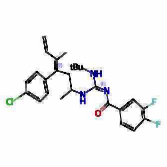 C=C/C(C)=C(/CC(C)N/C(=N\C(=O)c1ccc(F)c(F)c1)NC(C)(C)C)c1ccc(Cl)cc1